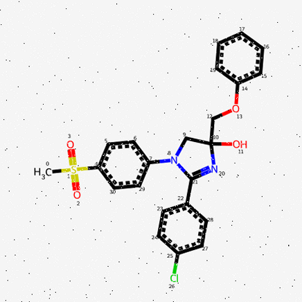 CS(=O)(=O)c1ccc(N2CC(O)(COc3ccccc3)N=C2c2ccc(Cl)cc2)cc1